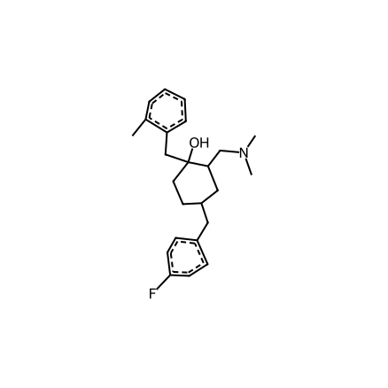 Cc1ccccc1CC1(O)CCC(Cc2ccc(F)cc2)CC1CN(C)C